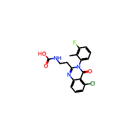 Cc1c(F)cccc1-n1c(CCNC(=O)O)nc2cccc(Cl)c2c1=O